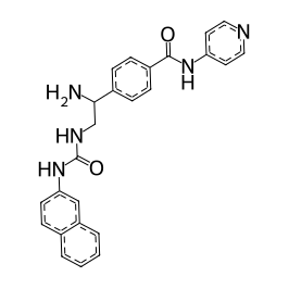 NC(CNC(=O)Nc1ccc2ccccc2c1)c1ccc(C(=O)Nc2ccncc2)cc1